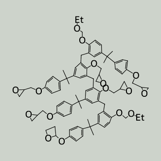 CCOCOc1ccc(C(C)(C)c2ccc(OCC3CO3)cc2)cc1Cc1cc(C(C)(C)c2ccc(OCC3CO3)cc2)cc(Cc2cc(C(C)(C)c3ccc(OCC4CO4)cc3)cc(Cc3cc(C(C)(C)c4ccc(OC5CCO5)cc4)ccc3OCOCC)c2OCC2CO2)c1OCC1CO1